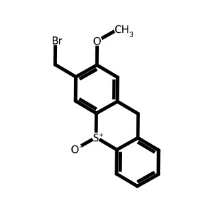 COc1cc2c(cc1CBr)[S+]([O-])c1ccccc1C2